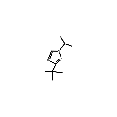 CC(C)n1cnc(C(C)(C)C)n1